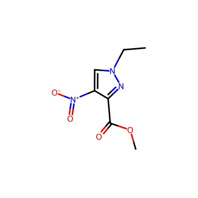 CCn1cc([N+](=O)[O-])c(C(=O)OC)n1